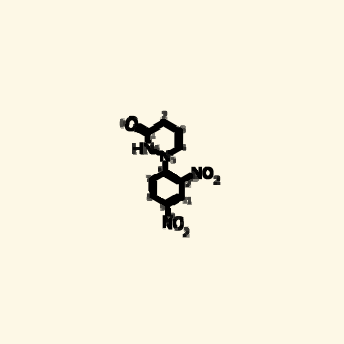 O=C1CC=CN(c2ccc([N+](=O)[O-])cc2[N+](=O)[O-])N1